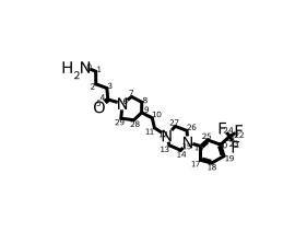 NCCCC(=O)N1CCC(CCN2CCN(c3cccc(C(F)(F)F)c3)CC2)CC1